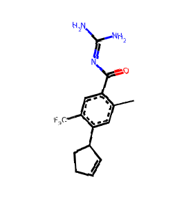 Cc1cc(C2C=CCC2)c(C(F)(F)F)cc1C(=O)N=C(N)N